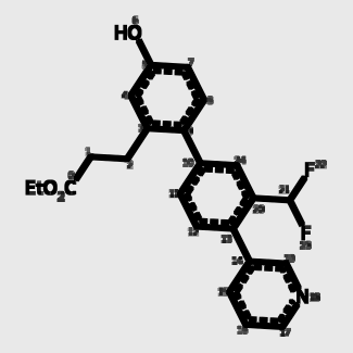 CCOC(=O)CCc1cc(O)ccc1-c1ccc(-c2cccnc2)c(C(F)F)c1